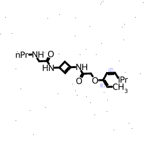 C/C=C(\C=C/C(C)C)OCC(=O)NC1=CC(NC(=O)CNCCC)C1